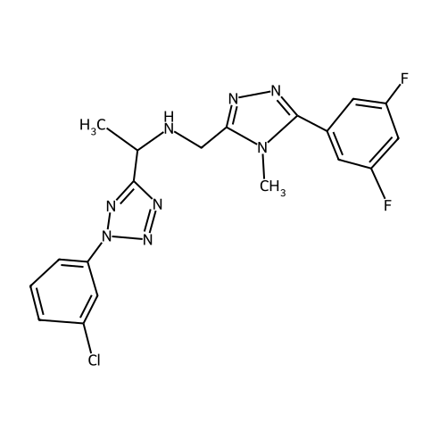 CC(NCc1nnc(-c2cc(F)cc(F)c2)n1C)c1nnn(-c2cccc(Cl)c2)n1